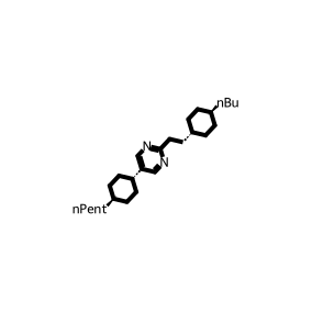 CCCCC[C@H]1CC[C@H](c2cnc(CC[C@H]3CC[C@H](CCCC)CC3)nc2)CC1